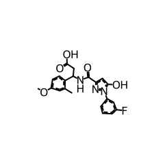 COc1ccc(C(CC(=O)O)NC(=O)c2cc(O)n(-c3cccc(F)c3)n2)c(C)c1